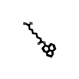 CCC(CC)CCCCCCC(=O)OC1C=Cc2cccc3cccc1c23